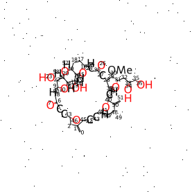 C=C1CC2CCC(=O)C[C@H]3O[C@H]4[C@@H](O)[C@H]5O[C@H](CC[C@@H]5O[C@H]4[C@H]3O)CC(=O)CC3[C@@H](OC)C(C[C@H](O)CO)O[C@H]3CC3O[C@@H](CCC1O2)C[C@@H](C)C3=C